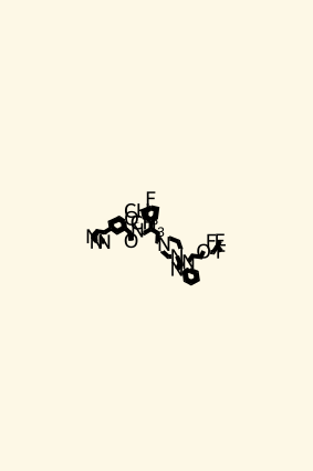 COc1ccc(C2C=NN=N2)cc1C(=O)N(C)CC(CCN1CCCN(c2nc3ccccc3n2CCOCC(F)(F)F)CC1)c1ccc(F)cc1